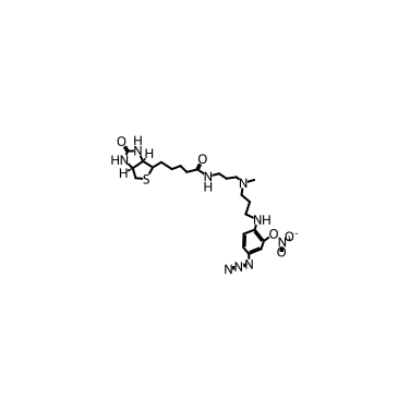 CN(CCCNC(=O)CCCCC1SC[C@@H]2NC(=O)N[C@H]12)CCCNc1ccc(N=[N+]=[N-])cc1O[N+](=O)[O-]